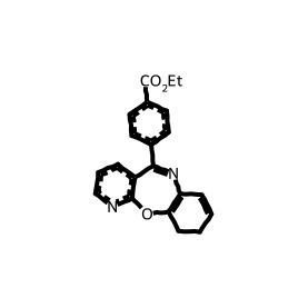 CCOC(=O)c1ccc(C2=NC3=C(CCC=C3)Oc3ncccc32)cc1